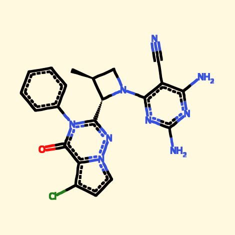 C[C@H]1CN(c2nc(N)nc(N)c2C#N)[C@@H]1c1nn2ccc(Cl)c2c(=O)n1-c1ccccc1